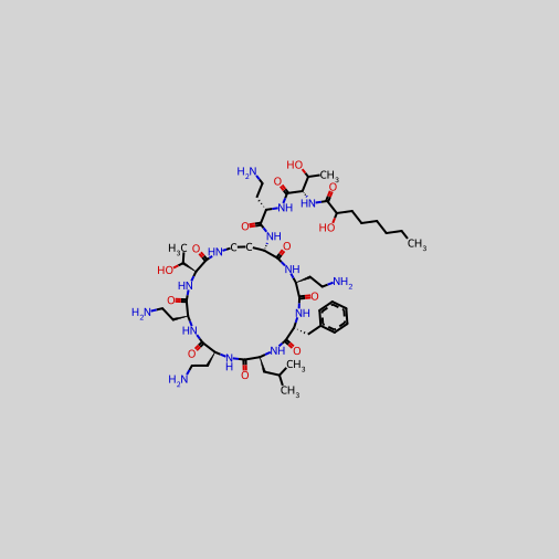 CCCCCCC(O)C(=O)N[C@H](C(=O)N[C@@H](CCN)C(=O)N[C@H]1CCNC(=O)[C@H](C(C)O)NC(=O)[C@H](CCN)NC(=O)[C@H](CCN)NC(=O)[C@H](CC(C)C)NC(=O)[C@@H](Cc2ccccc2)NC(=O)[C@H](CCN)NC1=O)C(C)O